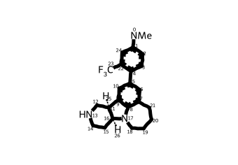 CNc1ccc(-c2cc3c4c(c2)[C@@H]2CNCC[C@@H]2N4CCCC3)c(C(F)(F)F)c1